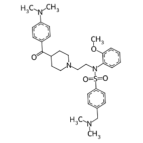 COc1ccccc1N(CCN1CCC(C(=O)c2ccc(N(C)C)cc2)CC1)S(=O)(=O)c1ccc(CN(C)C)cc1